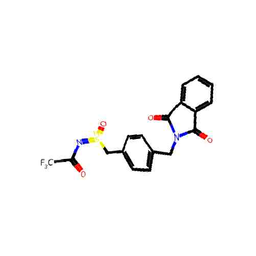 O=C1c2ccccc2C(=O)N1Cc1ccc(C/[SH](=O)=N\C(=O)C(F)(F)F)cc1